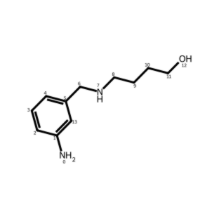 Nc1cccc(CNCCCCO)c1